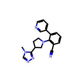 Cn1cnnc1C1CCN(c2c(C#N)cccc2-c2cccnc2)C1